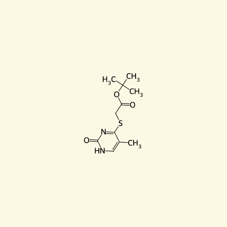 Cc1c[nH]c(=O)nc1SCC(=O)OC(C)(C)C